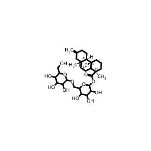 C=C1CC[C@@H]2[C@](C)(CCC3[C@](C)(C(=O)OC4OC(COC5OC(CO)C(O)C(O)C5O)C(O)C(O)C4O)CCC[C@]32C)C1